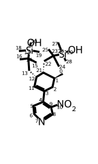 C[C@H]1CC(c2ccncc2[N+](=O)[O-])=C[C@H](CC(C)(C)[Si](C)(C)O)[C@@H]1CC(C)(C)[Si](C)(C)O